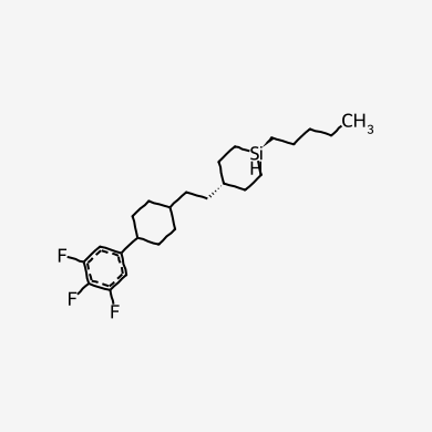 CCCCC[Si@H]1CC[C@H](CCC2CCC(c3cc(F)c(F)c(F)c3)CC2)CC1